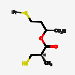 CC(C)SCCC(OC(=O)[C@H](C)CS)C(=O)O